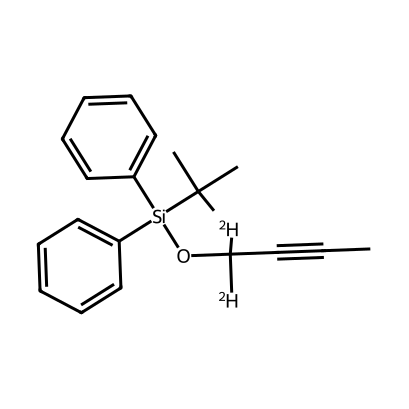 [2H]C([2H])(C#CC)O[Si](c1ccccc1)(c1ccccc1)C(C)(C)C